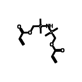 C=CC(=O)OCS(C)(C)NS(C)(C)COC(=O)C=C